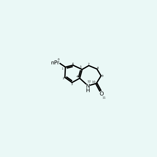 CCCc1ccc2c(c1)CCCC(=O)N2